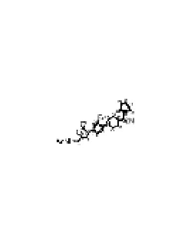 CC(=O)NCC1CN(c2ccc(N3CCC(=C(C#N)c4ccccc4)CC3)c(F)c2)C(=O)O1